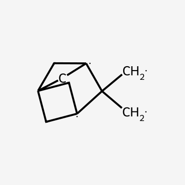 [CH2]C1([CH2])[C]2CC3(C2)C[C]1C3